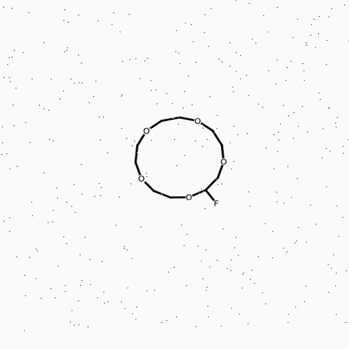 FC1COCCOCCOCCOCCO1